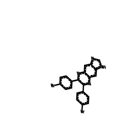 Brc1ccc(-c2nc3cc4nc[nH]c4cc3nc2-c2ccc(Br)cc2)cc1